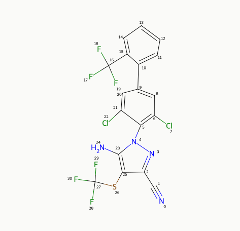 N#Cc1nn(-c2c(Cl)cc(-c3ccccc3C(F)(F)F)cc2Cl)c(N)c1SC(F)(F)F